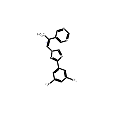 O=C(O)/C(=C/n1cnc(-c2cc(C(F)(F)F)cc(C(F)(F)F)c2)n1)c1cncnc1